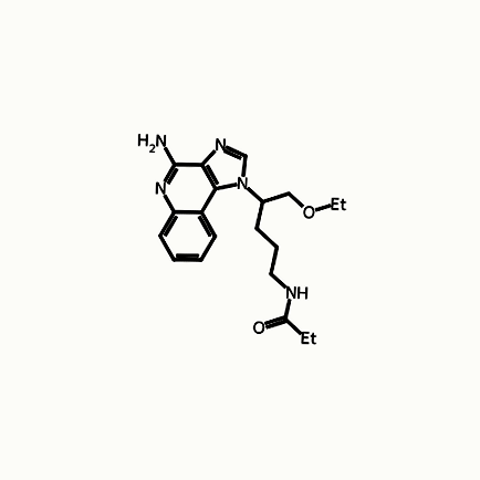 CCOCC(CCCNC(=O)CC)n1cnc2c(N)nc3ccccc3c21